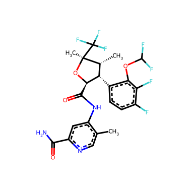 Cc1cnc(C(N)=O)cc1NC(=O)[C@H]1O[C@@](C)(C(F)(F)F)[C@H](C)[C@@H]1c1ccc(F)c(F)c1OC(F)F